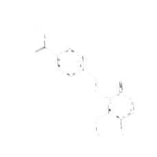 COC(=O)c1ccc(CCn2c(CBr)c(Br)ccc2=O)cc1